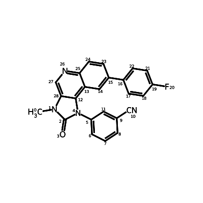 Cn1c(=O)n(-c2cccc(C#N)c2)c2c3cc(-c4ccc(F)cc4)ccc3ncc21